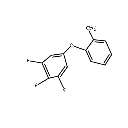 [CH2]c1ccccc1Oc1cc(F)c(F)c(F)c1